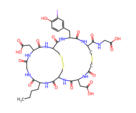 CCCCC1NC(=O)C2CSSCC(NC(=O)C(CC(=O)O)NC(=O)CNC1=O)C(=O)NC(Cc1ccc(O)c(I)c1)C(=O)NC(C(=O)NCC(=O)O)CSCC(=O)NC(CC(=O)O)C(=O)N2